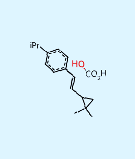 CC(C)c1ccc(C=CC2CC2(C)C)cc1.O=C(O)O